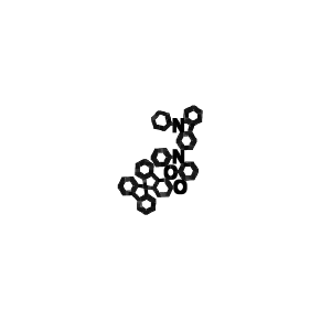 C1=CC(n2c3ccccc3c3ccc(N(c4ccccc4)c4cccc5c4OC4=C(C=CC6C4c4ccccc4C64c6ccccc6-c6ccccc64)O5)cc32)=CCC1